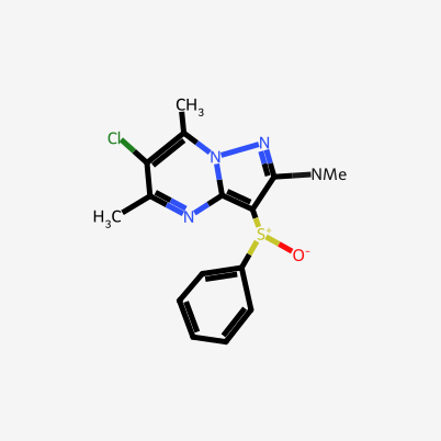 CNc1nn2c(C)c(Cl)c(C)nc2c1[S+]([O-])c1ccccc1